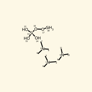 CN(C)C.CN(C)C.CN(C)C.O[Si](O)(O)OO[SiH3]